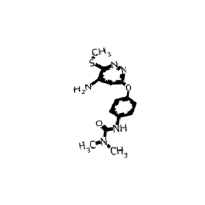 CSc1nnc(Oc2ccc(NC(=O)N(C)C)cc2)cc1N